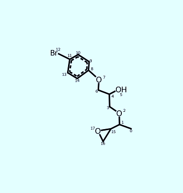 CC(OCC(O)COc1ccc(Br)cc1)C1CO1